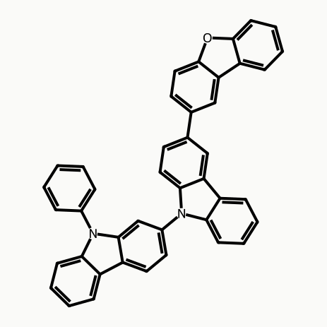 c1ccc(-n2c3ccccc3c3ccc(-n4c5ccccc5c5cc(-c6ccc7oc8ccccc8c7c6)ccc54)cc32)cc1